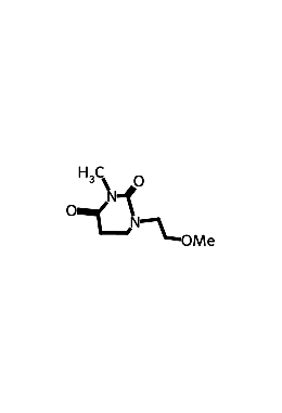 COCCN1CCC(=O)N(C)C1=O